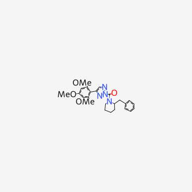 COc1cc(OC)c(-c2cnn(C(=O)N3CCCCC3Cc3ccccc3)n2)c(OC)c1